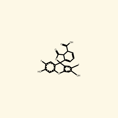 O=C(O)C1C=CC=C2C1C(=O)OC21c2cc(F)c(O)cc2Oc2cc(O)c(F)cc21